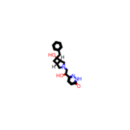 O=c1ccc(C(O)CN2C[C@H]3C[C@](O)(Cc4ccccc4)[C@H]3C2)n[nH]1